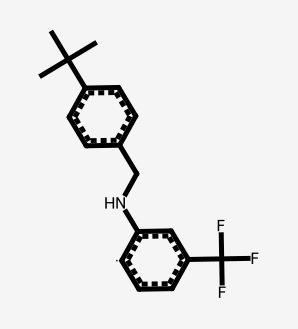 CC(C)(C)c1ccc(CNc2[c]ccc(C(F)(F)F)c2)cc1